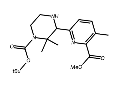 COC(=O)c1nc(C2NCCN(C(=O)OC(C)(C)C)C2(C)C)ccc1C